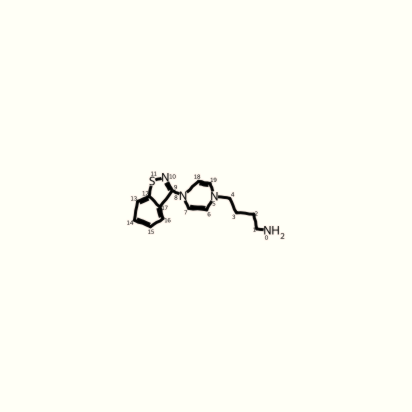 NCCCCN1C=CN(c2nsc3ccccc23)C=C1